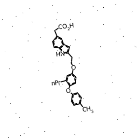 CCCc1cc(OCCc2cc3cc(CC(=O)O)ccc3[nH]2)ccc1Oc1ccc(C)cc1